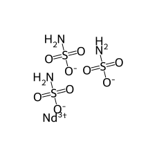 NS(=O)(=O)[O-].NS(=O)(=O)[O-].NS(=O)(=O)[O-].[Nd+3]